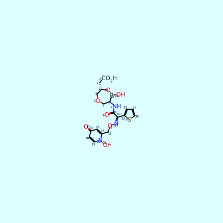 O=C(O)C[C@H]1COC[C@H](NC(=O)/C(=N\OCc2cc(=O)ccn2O)c2cccs2)B(O)O1